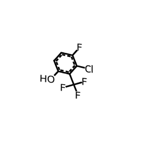 Oc1ccc(F)c(Cl)c1C(F)(F)F